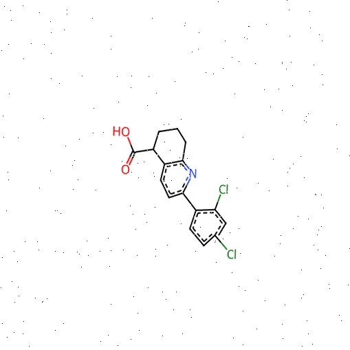 O=C(O)C1CCCc2nc(-c3ccc(Cl)cc3Cl)ccc21